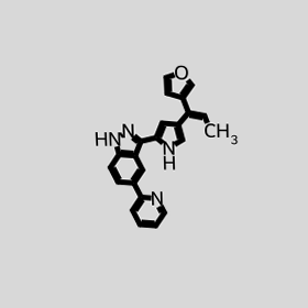 C/C=C(/c1ccoc1)c1c[nH]c(-c2n[nH]c3ccc(-c4ccccn4)cc23)c1